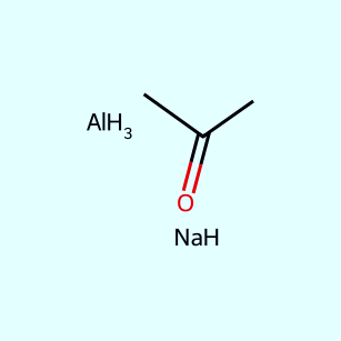 CC(C)=O.[AlH3].[NaH]